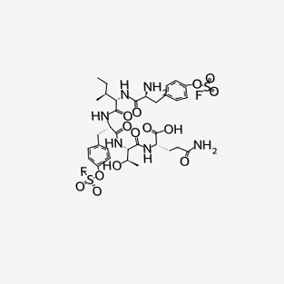 CC[C@H](C)[C@H](NC(=O)[C@@H](N)Cc1ccc(OS(=O)(=O)F)cc1)C(=O)N[C@@H](Cc1ccc(OS(=O)(=O)F)cc1)C(=O)N[C@H](C(=O)N[C@@H](CCC(N)=O)C(=O)O)[C@@H](C)O